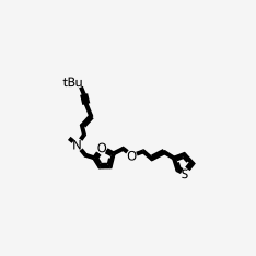 CN(CC=CC#CC(C)(C)C)Cc1ccc(COCC=Cc2ccsc2)o1